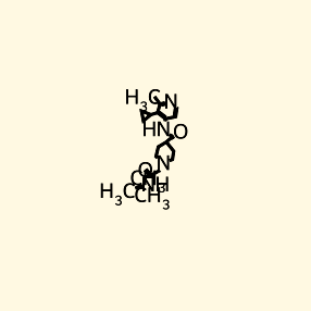 Cc1nccc(NC(=O)C2CCN(CC(=O)NC(C)(C)C)CC2)c1C1CC1